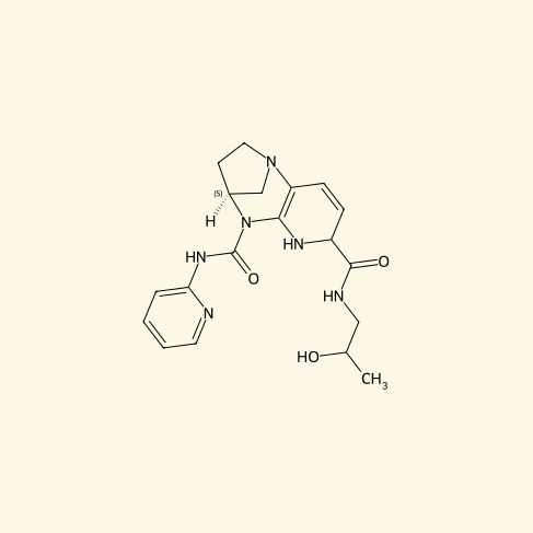 CC(O)CNC(=O)C1C=CC2=C(N1)N(C(=O)Nc1ccccn1)[C@H]1CCN2C1